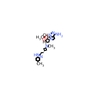 Cc1ccc2[nH]c(CC[C@H]3C[C@H](N(C)C[C@H]4C[C@@H](n5ccc6c(N)ncnc65)[C@@H]5OC(C)(C)O[C@H]45)C3)nc2c1